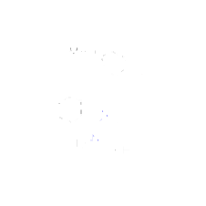 COc1ccc(Br)cc1CCc1ccccc1C1=NCC(C)N1C